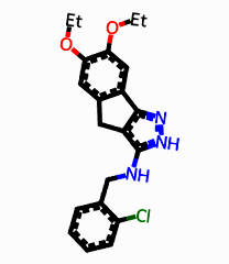 CCOc1cc2c(cc1OCC)-c1n[nH]c(NCc3ccccc3Cl)c1C2